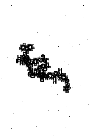 Cc1csc2c(OC(=O)N(C)CCN(C)C(=O)OCc3ccc(NC(=O)[C@H](CCCNC(N)=O)NC(=O)[C@@H](NC(=O)OCC4c5ccccc5-c5ccccc54)C(C)C)cc3)cc3c(c12)[C@H](CCl)CN3C(=O)c1cc2cc(NC(=O)c3cc4cc(OCCN5CCCC5)ccc4[nH]3)ccc2[nH]1